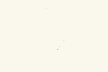 CCOC(=O)c1cccc(NC(C(=O)O[C@H]2C[N+]3(CC=C(C)C)CCC2CC3)c2ccc(OC)nc2)c1.[Br-]